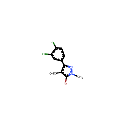 Cn1nc(-c2ccc(Cl)c(Cl)c2)c(C=O)c1Br